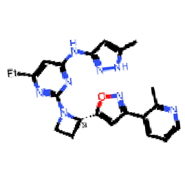 CCc1cc(Nc2cc(C)[nH]n2)nc(N2CC[C@H]2c2cc(-c3cccnc3C)no2)n1